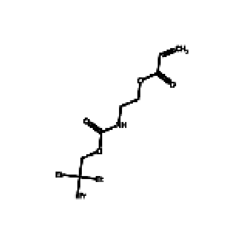 C=CC(=O)OCCNC(=O)OCC(CC)(CC)CCC